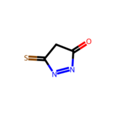 O=C1CC(=S)N=N1